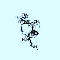 CC(C)C[C@@H]1NC(=O)[C@H](Cc2ccccc2)NN[C@](C)(C(=O)C(=O)[C@@H](N)CCCCN)CCC/C=C\CCC[C@@](C)(NN[C@H](C=O)[C@@H](C)O)C(=O)C1=O